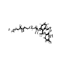 CCCC(=O)NCCOCCNc1cccc2c1C(=O)N(C1CCC(=O)NC1=O)C2=O